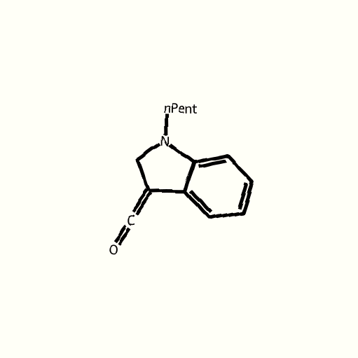 CCCCCN1CC(=C=O)c2ccccc21